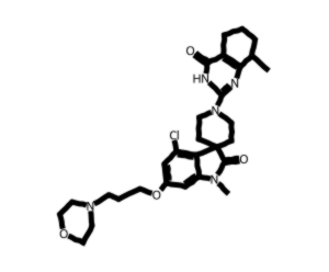 CC1CCCc2c1nc(N1CCC3(CC1)C(=O)N(C)c1cc(OCCCN4CCOCC4)cc(Cl)c13)[nH]c2=O